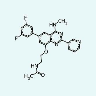 CNc1nc(-c2cccnc2)nc2c(OCCNC(C)=O)cc(-c3cc(F)cc(F)c3)cc12